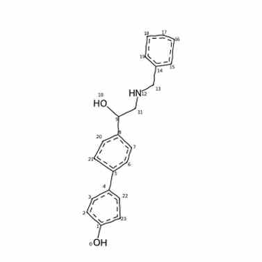 Oc1ccc(-c2ccc(C(O)CNCc3ccccc3)cc2)cc1